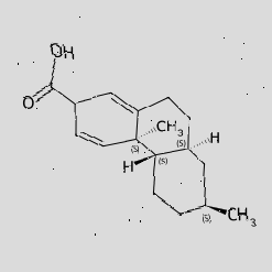 C[C@H]1CC[C@H]2[C@@H](CCC3=CC(C(=O)O)C=C[C@@]32C)C1